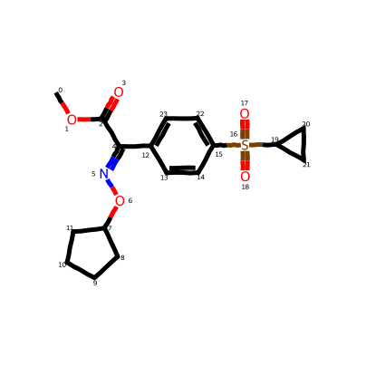 COC(=O)/C(=N/OC1CCCC1)c1ccc(S(=O)(=O)C2CC2)cc1